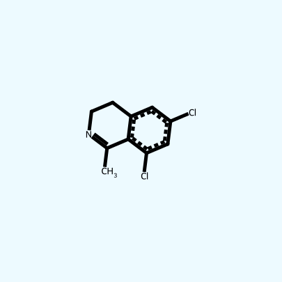 CC1=NCCc2cc(Cl)cc(Cl)c21